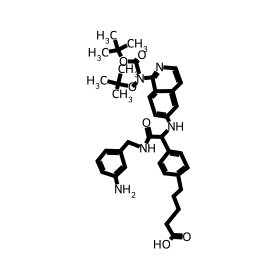 CC(C)(C)OC(=O)N(OC(C)(C)C)c1nccc2cc(NC(C(=O)NCc3cccc(N)c3)c3ccc(CCCCC(=O)O)cc3)ccc12